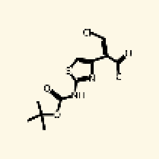 CC(C)(C)OC(=O)Nc1nc(/C(=C\Cl)C(=O)Cl)cs1